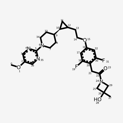 COc1cnc(N2CCC([C@H]3CC3CCOc3cc(F)c(CC(=O)N4CC(C)(O)C4)c(F)c3)CC2)nc1